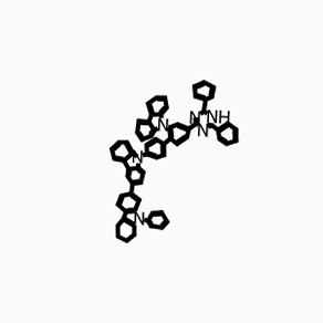 c1ccc(C2=NC(c3ccc(-c4ccc(-n5c6ccccc6c6cc(-c7ccc8c9c(n(-c%10ccccc%10)c8c7)CCCC9)ccc65)cc4)c(-n4c5ccccc5c5ccccc54)c3)=NC(c3ccccc3)N2)cc1